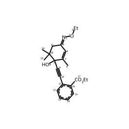 CCO/N=C1\C=C(C)C(O)(C#Cc2ccccc2C(=O)OCC)C(C)(C)C1